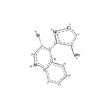 CC(C)c1conc1-c1c(Br)[c]nc2ccccc12